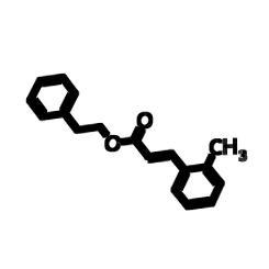 Cc1ccccc1C=CC(=O)OCCc1ccccc1